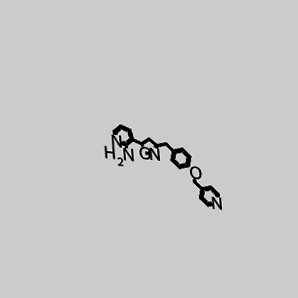 Nc1ncccc1C1CC(Cc2ccc(OCc3ccncc3)cc2)=NO1